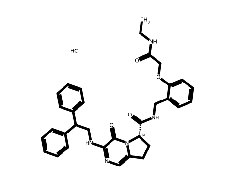 CCNC(=O)COc1ccccc1CNC(=O)[C@@H]1CCc2cnc(NCC(c3ccccc3)c3ccccc3)c(=O)n21.Cl